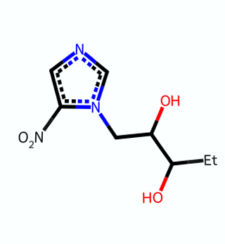 CCC(O)C(O)Cn1cncc1[N+](=O)[O-]